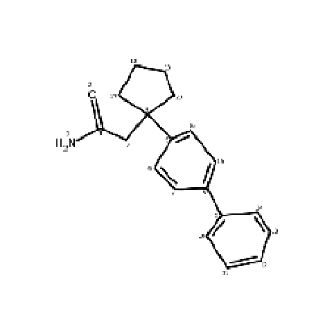 NC(=O)CC1(c2ccc(-c3ccccc3)cc2)CCCC1